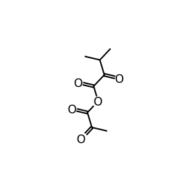 CC(=O)C(=O)OC(=O)C(=O)C(C)C